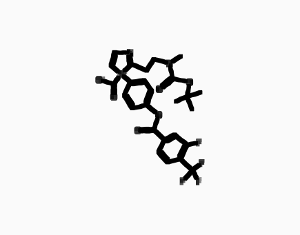 CN(CCC1=NC=C[N+]1(C(=O)[O-])c1ccc(OC(=O)c2ccc(C(F)(F)F)c(F)c2)cc1)C(=O)OC(C)(C)C